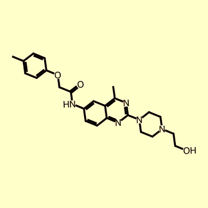 Cc1ccc(OCC(=O)Nc2ccc3nc(N4CCN(CCO)CC4)nc(C)c3c2)cc1